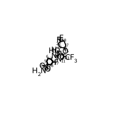 NS(=O)(=O)c1ccc(Nc2ncc(C(F)(F)F)c(OC3CCC(F)(F)CC3O)n2)c(F)c1